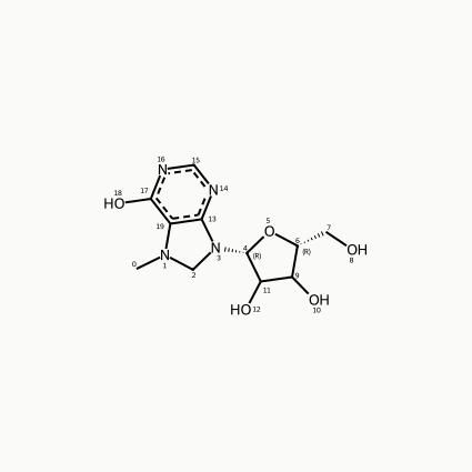 CN1CN([C@@H]2O[C@H](CO)C(O)C2O)c2ncnc(O)c21